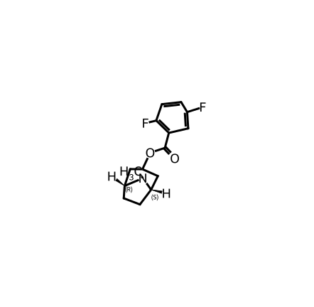 CN1[C@@H]2CC[C@H]1CC(OC(=O)c1cc(F)ccc1F)C2